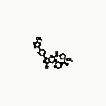 Cc1nnc(-c2[c]cc(-n3nc(Br)c4cnc(N[C@@H]5CC[C@@](C)(C(=O)N6CCOCC6)C5)nc43)cc2)s1